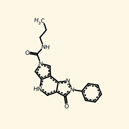 CCCNC(=O)n1cc2[nH]cc3c(=O)n(-c4ccccc4)nc-3c2c1